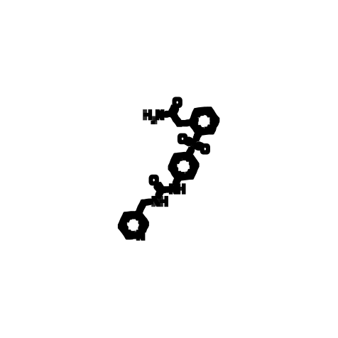 NC(=O)Cc1ccccc1S(=O)(=O)c1ccc(NC(=O)NCc2cccnc2)cc1